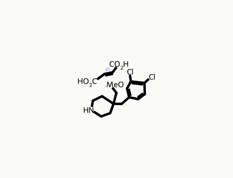 COCC1(Cc2ccc(Cl)c(Cl)c2)CCNCC1.O=C(O)/C=C/C(=O)O